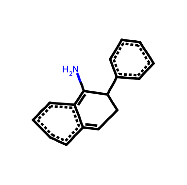 NC1=c2ccccc2=CCC1c1ccccc1